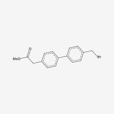 COC(=O)Cc1ccc(-c2ccc(CC(C)C)cc2)cc1